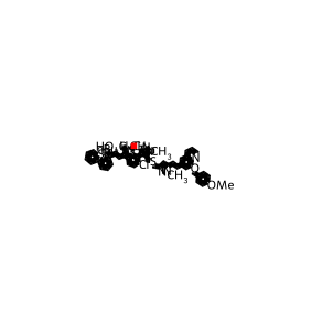 CCCC[Si](OCCCc1c(C(=O)O)n(C)c2c(-c3c(C)nn(C)c3CSCc3cc(CCc4cc(OCc5ccc(OC)cc5)c5ncccc5c4)n(C)n3)c(Cl)ccc12)(c1ccccc1)c1ccccc1